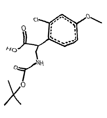 COc1ccc(C(NC(=O)OC(C)(C)C)C(=O)O)c(Cl)c1